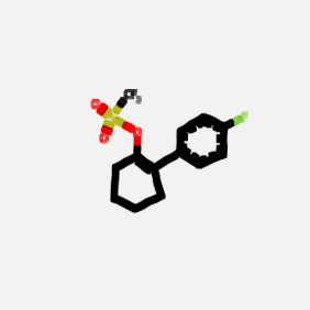 O=S(=O)(OC1=C(c2ccc(F)cc2)CCCC1)C(F)(F)F